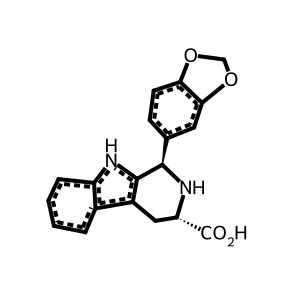 O=C(O)[C@@H]1Cc2c([nH]c3ccccc23)[C@@H](c2ccc3c(c2)OCO3)N1